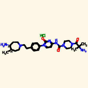 C[C@@H]1CCN(CCc2ccc(-n3ccc(NC(=O)N4CCN(C(=O)C(C)(C)N)CC4)nc3=O)cc2)CC[C@H]1N.Cl